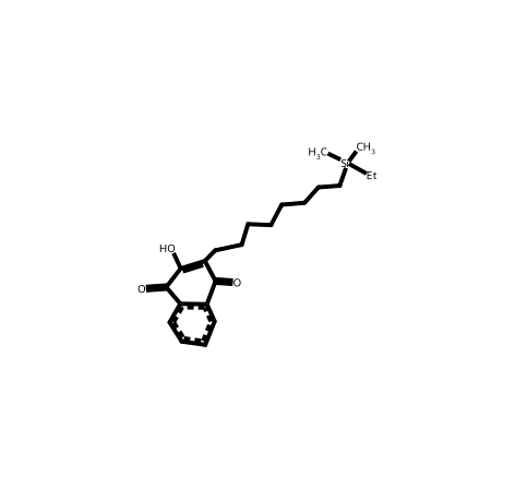 CC[Si](C)(C)CCCCCCCCC1=C(O)C(=O)c2ccccc2C1=O